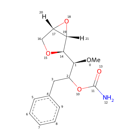 CO[C@@H](C(Cc1ccccc1)OC(N)=O)[C@H]1OC[C@@H]2O[C@H]12